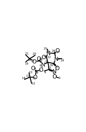 CO/N=C(\C)C1(N(OC(=O)OC(C)(C)C)C(=O)OC(C)(C)C)C(=O)N(C)C(=O)N(C)C1=O